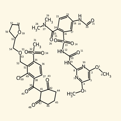 COc1cc(OC)nc(NC(=O)NS(=O)(=O)c2cc(NC=O)ccc2C(=O)N(C)C)n1.CS(=O)(=O)c1ccc(C(=O)C2C(=O)CCCC2=O)c(Cl)c1COCC1CCCO1